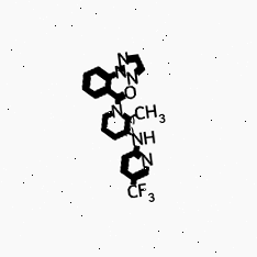 C[C@@H]1[C@H](Nc2ccc(C(F)(F)F)cn2)CCCN1C(=O)c1ccccc1-n1nccn1